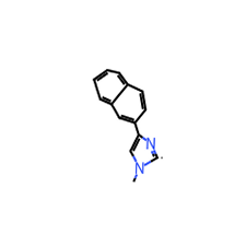 Cn1[c]nc(-c2ccc3ccccc3c2)c1